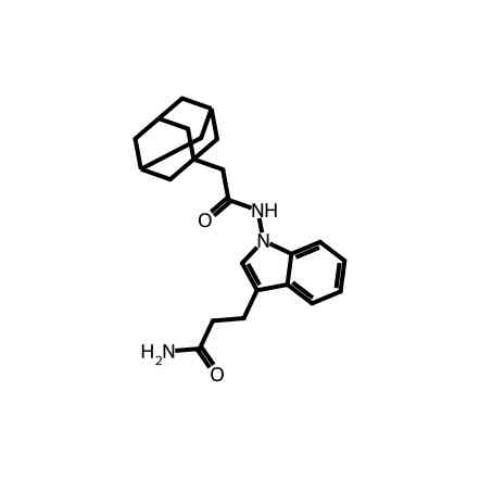 NC(=O)CCc1cn(NC(=O)CC23CC4CC(CC(C4)C2)C3)c2ccccc12